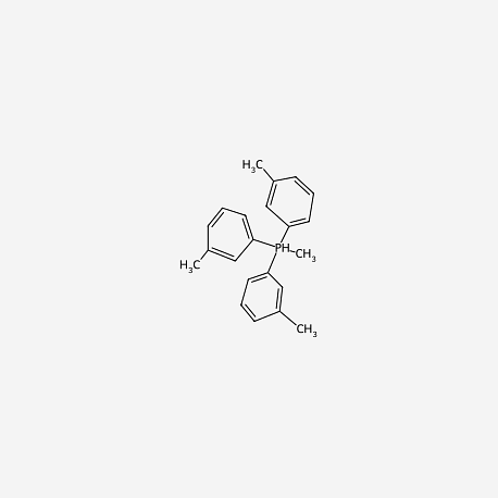 Cc1cccc([PH](C)(c2cccc(C)c2)c2cccc(C)c2)c1